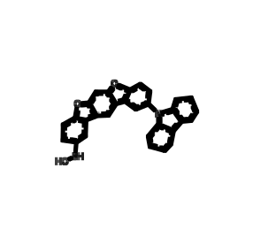 OBc1ccc2oc3cc4oc5ccc(-n6c7ccccc7c7ccccc76)cc5c4cc3c2c1